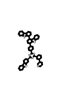 c1cncc(-c2cccc(-c3nc(-c4ccc(-c5ccc(-c6cccc7c6sc6ccccc67)c6c5oc5ccccc56)cc4)nc(-c4ccc5c(c4)oc4ccccc45)n3)c2)c1